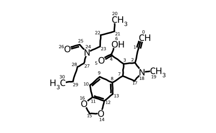 C#CC1C(C(=O)O)C(c2ccc3c(c2)OCO3)CN1C.CCCCN(C=O)CCCC